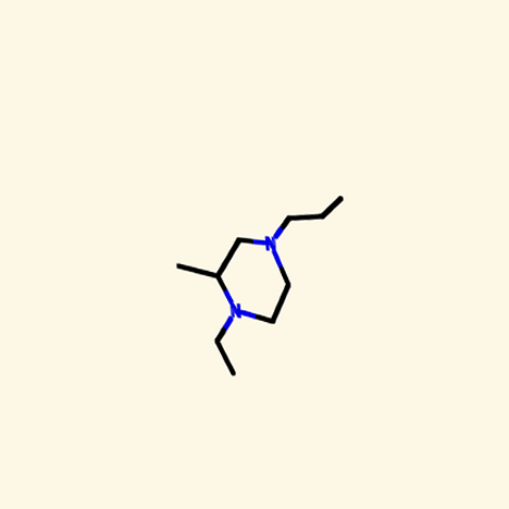 CCCN1CCN(CC)C(C)C1